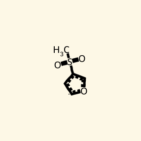 CS(=O)(=O)c1c[c]oc1